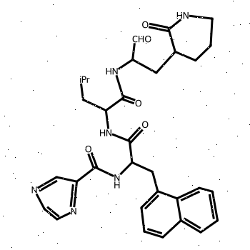 CC(C)CC(NC(=O)C(Cc1cccc2ccccc12)NC(=O)c1cnccn1)C(=O)NC(C=O)CC1CCCNC1=O